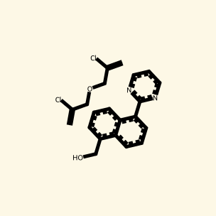 C=C(Cl)COCC(=C)Cl.OCc1cccc2c(-c3ncccn3)cccc12